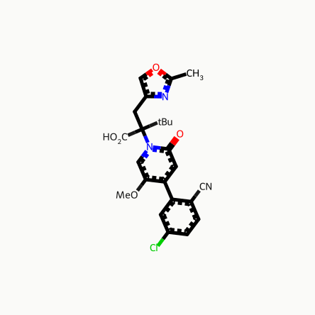 COc1cn(C(Cc2coc(C)n2)(C(=O)O)C(C)(C)C)c(=O)cc1-c1cc(Cl)ccc1C#N